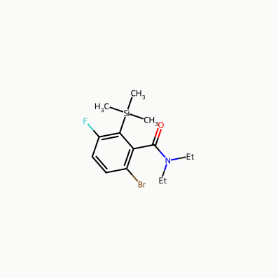 CCN(CC)C(=O)c1c(Br)ccc(F)c1[Si](C)(C)C